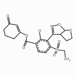 CCS(=O)(=O)c1ccc(C(=O)OC2=CC(=O)CCC2)c(Cl)c1C1=NOC2OCCC12